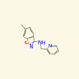 Cc1ccc2c(NCc3ccccn3)noc2c1